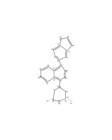 C[C@@H]1CN(c2nnc(-c3ccc4occc4c3)c3ccncc23)C[C@H](C)O1